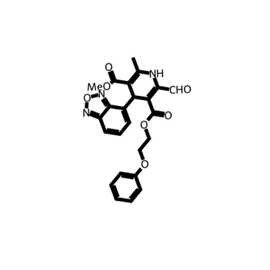 COC(=O)C1=C(C)NC(C=O)=C(C(=O)OCCOc2ccccc2)C1c1cccc2nonc12